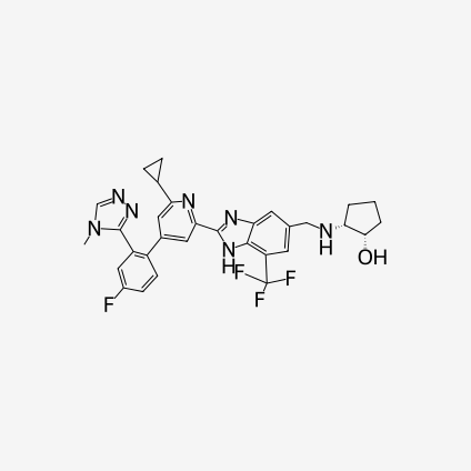 Cn1cnnc1-c1cc(F)ccc1-c1cc(-c2nc3cc(CN[C@@H]4CCC[C@@H]4O)cc(C(F)(F)F)c3[nH]2)nc(C2CC2)c1